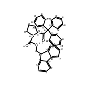 O=C(OCC1c2ccccc2-c2ccccc21)N1CCC[C@H]1C(=O)C(c1ccccc1)(c1ccccc1)c1ccccc1